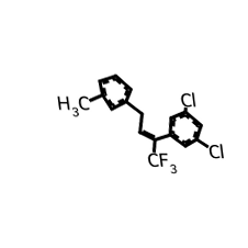 Cc1cccc(CC=C(c2cc(Cl)cc(Cl)c2)C(F)(F)F)c1